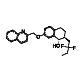 CCC(F)(F)C[C@@H]1CCc2ccc(OCc3ccc4ccccc4n3)cc2[C@H]1O